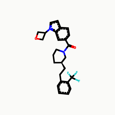 O=C(c1ccc2ccn(C3COC3)c2c1)N1CCC[C@H](CCc2ccccc2C(F)(F)F)C1